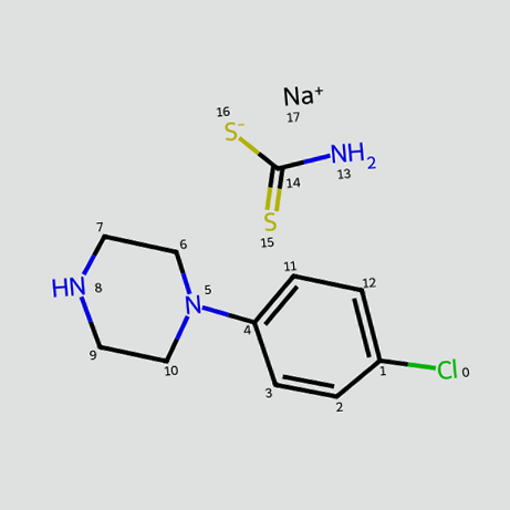 Clc1ccc(N2CCNCC2)cc1.NC(=S)[S-].[Na+]